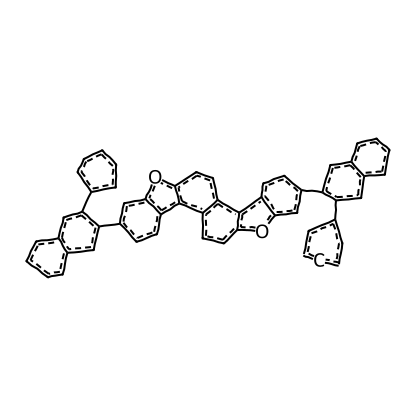 c1ccc(-c2cc3ccccc3cc2-c2ccc3c(c2)oc2ccc4c(ccc5oc6cc(-c7cc8ccccc8cc7-c7ccccc7)ccc6c54)c23)cc1